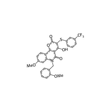 COc1ccc2c3oc(=O)c(Sc4cccc(C(F)(F)F)c4)c(O)c3c(=O)n(Cc3ccccc3OC)c2c1